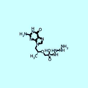 C[C@H](Cn1cnc2c(=O)[nH]c(N)nc21)OCP(=O)(O)NNNN